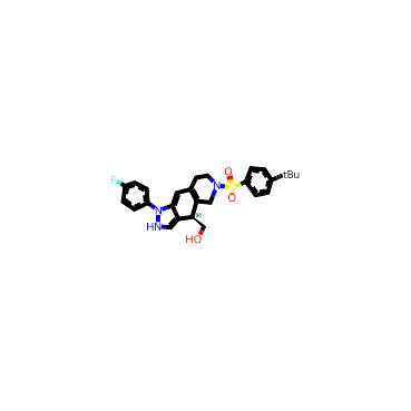 CC(C)(C)c1ccc(S(=O)(=O)N2CCC3=C(C2)[C@@H](CO)C2=CNN(c4ccc(F)cc4)C2=C3)cc1